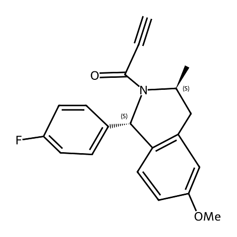 C#CC(=O)N1[C@@H](c2ccc(F)cc2)c2ccc(OC)cc2C[C@@H]1C